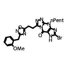 CCCCCn1c2nc(Br)[nH]c2c(=O)n2c(CCc3nc(Cc4ccccc4OC)no3)nnc12